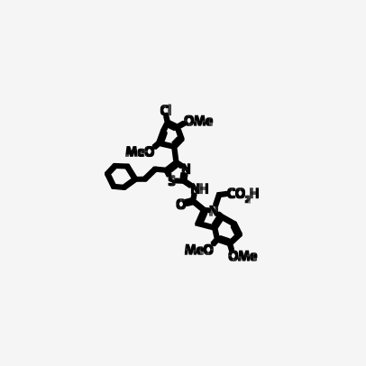 COc1cc(-c2nc(NC(=O)c3cc4c(OC)c(OC)ccc4n3CC(=O)O)sc2CCC2CCCCC2)c(OC)cc1Cl